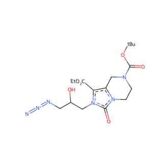 CCOC(=O)c1c2n(c(=O)n1CC(O)CN=[N+]=[N-])CCN(C(=O)OC(C)(C)C)C2